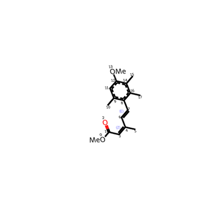 COC(=O)/C=C(C)\C=C\c1c(C)cc(OC)c(C)c1C